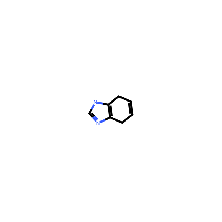 C1=CCC2=C(C1)[N]C=N2